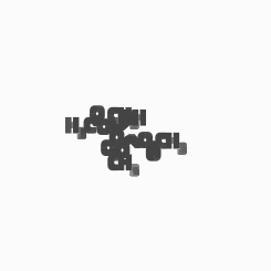 CC(=O)OCCC(OC(C)=O)OC(CO)[C@H](C)OC(C)=O